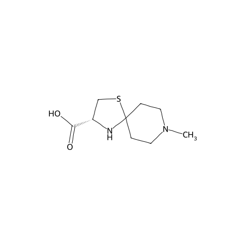 CN1CCC2(CC1)N[C@H](C(=O)O)CS2